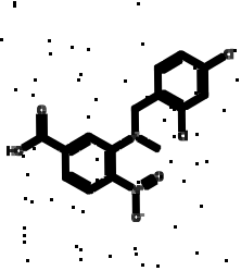 CN(Cc1ccc(Cl)cc1Cl)c1cc(C(=O)O)ccc1[N+](=O)[O-]